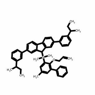 C=CCOc1c(-c2ccccc2)cc(C)cc1[Si](C)(C)C1c2cc(-c3cccc(C(C)CC)c3)ccc2-c2ccc(-c3cccc(C(C)CC)c3)cc21